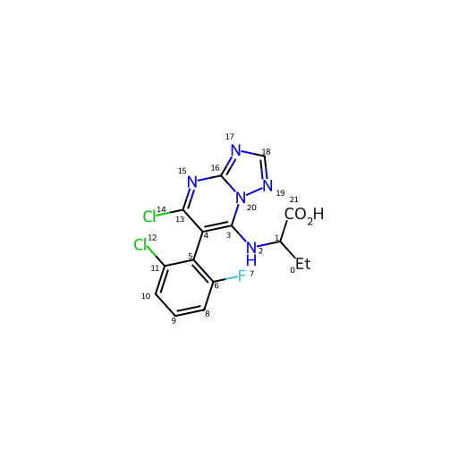 CCC(Nc1c(-c2c(F)cccc2Cl)c(Cl)nc2ncnn12)C(=O)O